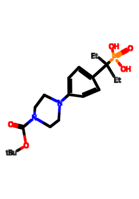 CCC(CC)(c1ccc(N2CCN(C(=O)OC(C)(C)C)CC2)cc1)P(=O)(O)O